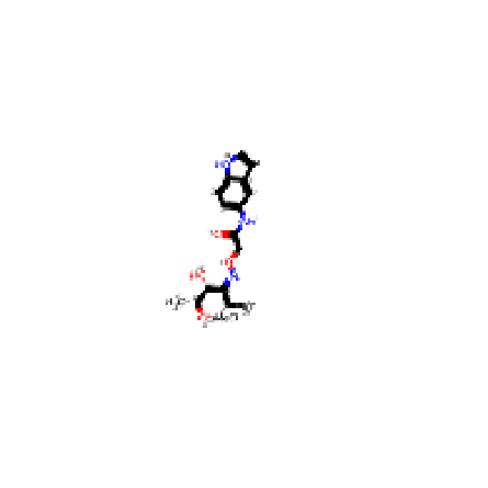 CO[C@H](/C(=N/OCC(=O)Nc1ccc2[nH]ccc2c1)[C@@H](O)[C@@H](C)O)C(C)C